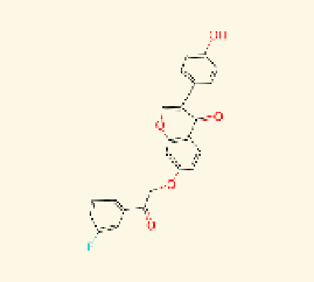 O=C(COc1ccc2c(=O)c(-c3ccc(O)cc3)coc2c1)c1cccc(F)c1